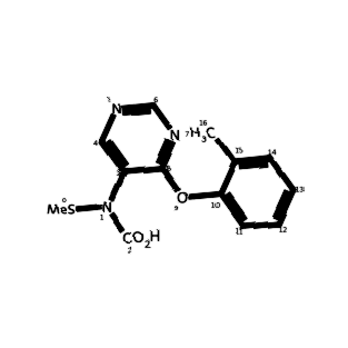 CSN(C(=O)O)c1cncnc1Oc1ccccc1C